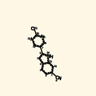 N#Cc1ccc2cc(-c3cnc(Cl)nc3)[nH]c2c1